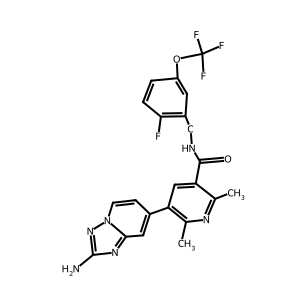 Cc1nc(C)c(-c2ccn3nc(N)nc3c2)cc1C(=O)NCc1cc(OC(F)(F)F)ccc1F